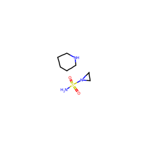 C1CCNCC1.NS(=O)(=O)N1CC1